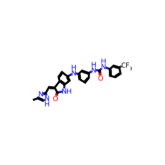 Cc1c[nH]c(C=C2C(=O)Nc3cc(Nc4cccc(NC(=O)Nc5cccc(C(F)(F)F)c5)c4)ccc32)n1